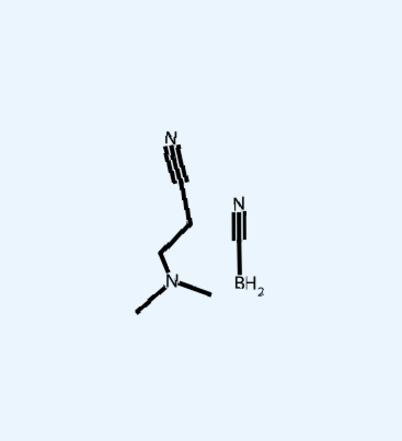 BC#N.CN(C)CCC#N